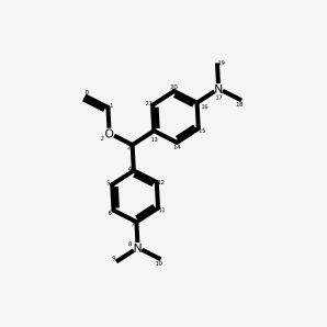 C=COC(c1ccc(N(C)C)cc1)c1ccc(N(C)C)cc1